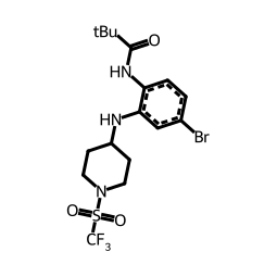 CC(C)(C)C(=O)Nc1ccc(Br)cc1NC1CCN(S(=O)(=O)C(F)(F)F)CC1